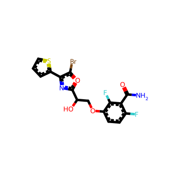 NC(=O)c1c(F)ccc(OCC(O)c2nc(-c3cccs3)c(Br)o2)c1F